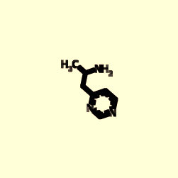 CC(N)Cc1ccncn1